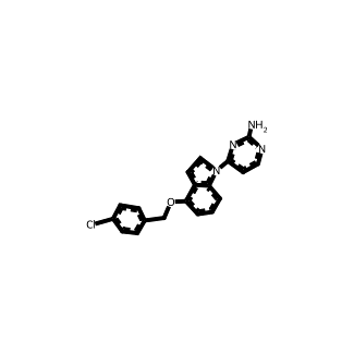 Nc1nccc(-n2ccc3c(OCc4ccc(Cl)cc4)cccc32)n1